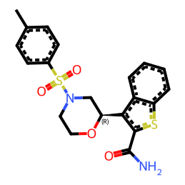 Cc1ccc(S(=O)(=O)N2CCO[C@H](c3c(C(N)=O)sc4ccccc34)C2)cc1